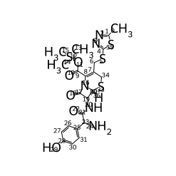 Cc1nnc(SCC2=C(C(=O)O[Si](C)(C)C)N3C(=O)C(NC(=O)C(N)c4ccc(O)cc4)[C@H]3SC2)s1